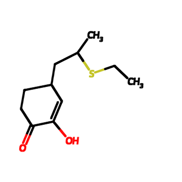 CCSC(C)CC1C=C(O)C(=O)CC1